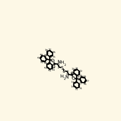 N[C@@H](CSSC[C@H](N)C(=O)OC(c1ccccc1)(c1ccccc1)c1ccccc1)C(=O)OC(c1ccccc1)(c1ccccc1)c1ccccc1